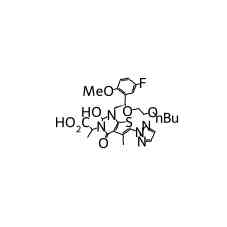 CCCCOCCO[C@@H](CN1c2sc(-n3nccn3)c(C)c2C(=O)N(C(C)C(=O)O)C1O)c1cc(F)ccc1OC